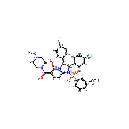 CN1CCN(C(=O)c2ccc3n(c2=O)[C@@H](c2ccc(Cl)cc2)[C@@H](c2ccc(Cl)cc2)N3S(=O)(=O)c2cccc(C(=O)O)c2)CC1